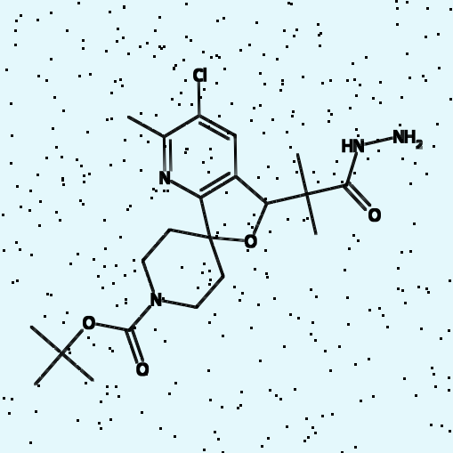 Cc1nc2c(cc1Cl)C(C(C)(C)C(=O)NN)OC21CCN(C(=O)OC(C)(C)C)CC1